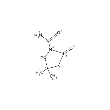 CC1(C)CC(=O)N(C(N)=O)O1